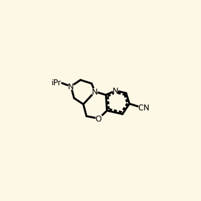 CC(C)N1CCN2c3ncc(C#N)cc3OCC2C1